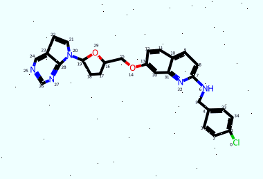 Clc1ccc(CNc2ccc3ccc(OCC4CCC(n5ccc6cncnc65)O4)cc3n2)cc1